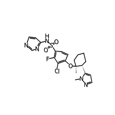 Cn1nccc1[C@H]1CCCC[C@]1(C)Oc1ccc(S(=O)(=O)Nc2ccncn2)c(F)c1Cl